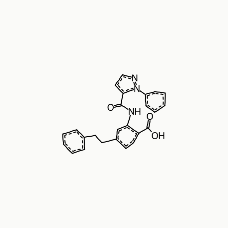 O=C(O)c1ccc(CCc2ccccc2)cc1NC(=O)c1ccnn1-c1ccccc1